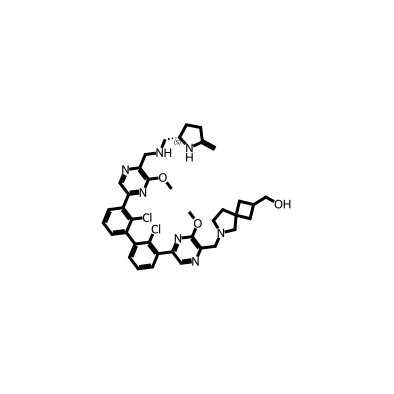 C=C1CC[C@@H](CNCc2ncc(-c3cccc(-c4cccc(-c5cnc(CN6CCC7(CC(CO)C7)C6)c(OC)n5)c4Cl)c3Cl)nc2OC)N1